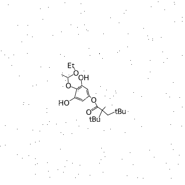 CCOC(C)Oc1c(O)cc(OC(=O)C(C)(CC(C)(C)C)C(C)(C)C)cc1O